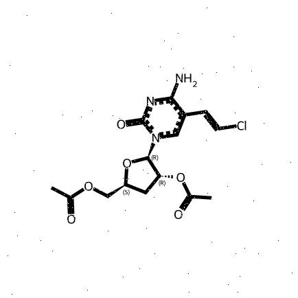 CC(=O)OC[C@@H]1C[C@@H](OC(C)=O)[C@H](n2cc(C=CCl)c(N)nc2=O)O1